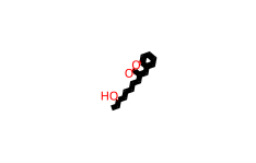 CCC(O)CCCCCc1cc2ccccc2oc1=O